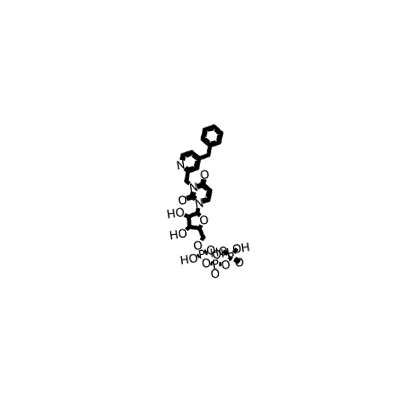 O=c1ccn(C2OC(COP(=O)(O)OP(=O)(O)OP(=O)(O)O)C(O)C2O)c(=O)n1Cc1cc(Cc2ccccc2)ccn1